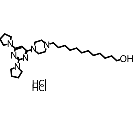 Cl.Cl.OCCCCCCCCCCCCN1CCN(c2cc(N3CCCC3)nc(N3CCCC3)n2)CC1